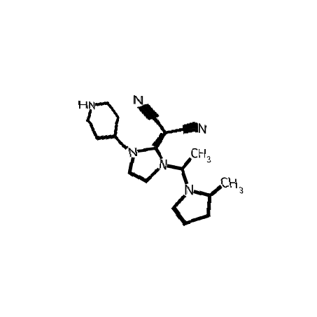 CC1CCCN1C(C)N1CCN(C2CCNCC2)C1=C(C#N)C#N